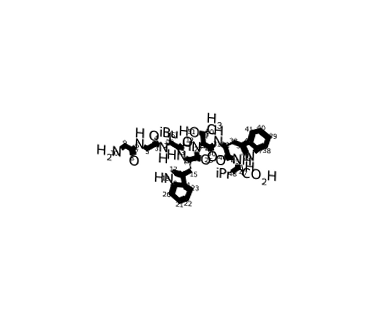 CC[C@H](C)[C@H](NC(=O)CNC(=O)CN)C(=O)N[C@@H](Cc1c[nH]c2ccccc12)C(=O)N[C@H](C(=O)N[C@@H](Cc1c[nH]c2ccccc12)C(=O)N[C@H](C(=O)O)C(C)C)[C@@H](C)O